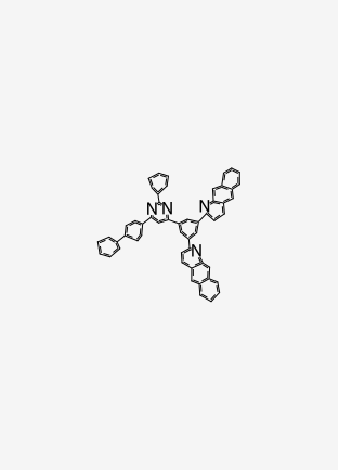 c1ccc(-c2ccc(-c3cc(-c4cc(-c5ccc6cc7ccccc7cc6n5)cc(-c5ccc6cc7ccccc7cc6n5)c4)nc(-c4ccccc4)n3)cc2)cc1